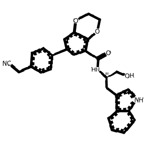 N#CCc1ccc(-c2cc3c(c(C(=O)N[C@@H](CO)Cc4c[nH]c5ccccc45)c2)OCCO3)cc1